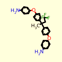 CC(CC(F)(F)F)(c1ccc(Oc2ccc(N)cc2)cc1)c1ccc(Oc2ccc(N)cc2)cc1